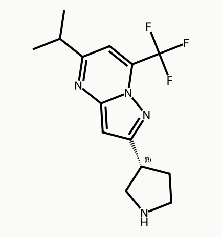 CC(C)c1cc(C(F)(F)F)n2nc([C@@H]3CCNC3)cc2n1